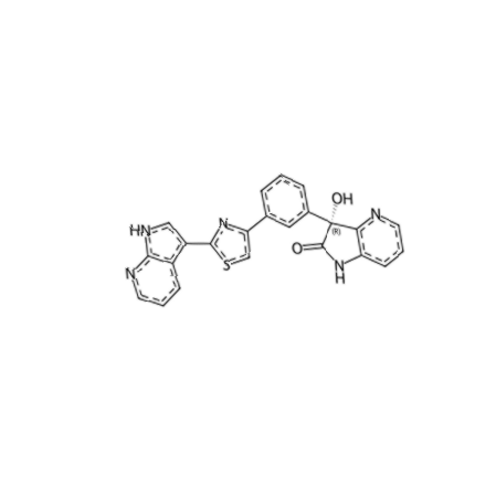 O=C1Nc2cccnc2[C@]1(O)c1cccc(-c2csc(-c3c[nH]c4ncccc34)n2)c1